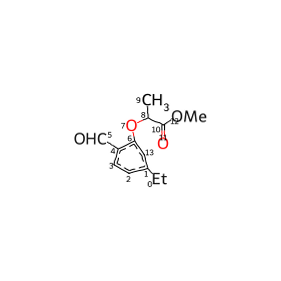 CCc1ccc(C=O)c(OC(C)C(=O)OC)c1